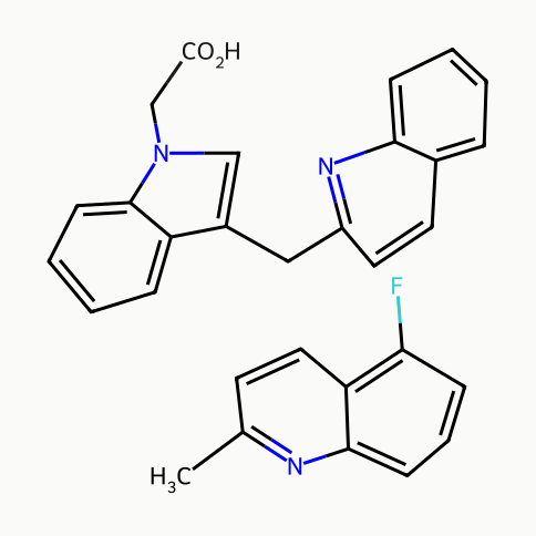 Cc1ccc2c(F)cccc2n1.O=C(O)Cn1cc(Cc2ccc3ccccc3n2)c2ccccc21